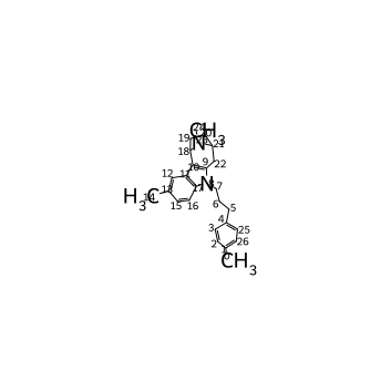 Cc1ccc(CCCn2c3c(c4cc(C)ccc42)C2CCC(C3)N2C)cc1